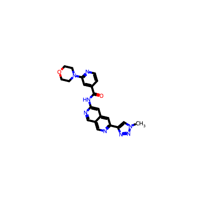 Cn1cc(-c2cc3cc(NC(=O)c4ccnc(N5CCOCC5)c4)ncc3cn2)nn1